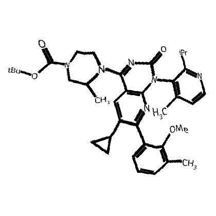 COc1c(C)cccc1-c1nc2c(cc1C1CC1)c(N1CCN(C(=O)OC(C)(C)C)CC1C)nc(=O)n2-c1c(C)ccnc1C(C)C